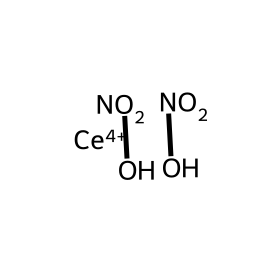 O=[N+]([O-])O.O=[N+]([O-])O.[Ce+4]